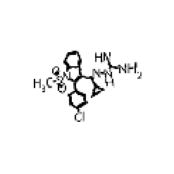 CS(=O)(=O)n1c(-c2ccc(Cl)cc2)c(C(=NNC(=N)N)C2CC2)c2ccccc21